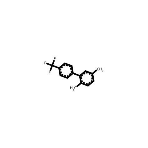 Cc1ccc(C)c(-c2ccc(C(F)(F)F)cc2)c1